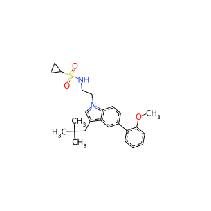 COc1ccccc1-c1ccc2c(c1)c(CC(C)(C)C)cn2CCNS(=O)(=O)C1CC1